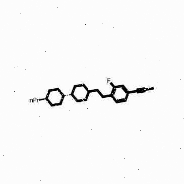 CC#Cc1ccc(CCC2CCC([C@H]3CC[C@H](CCC)CC3)CC2)c(F)c1